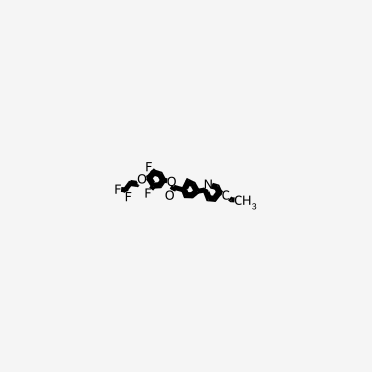 CCCc1ccc(-c2ccc(C(=O)Oc3cc(F)c(O/C=C/C(F)F)c(F)c3)cc2)nc1